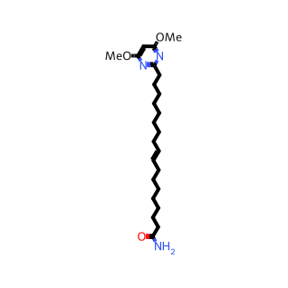 COc1cc(OC)nc(CCCCCCCCC=CCCCCCCCC(N)=O)n1